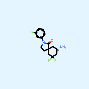 N[C@@H]1CC(F)(F)CC2(CCN(c3cccc(F)c3)C2=O)C1